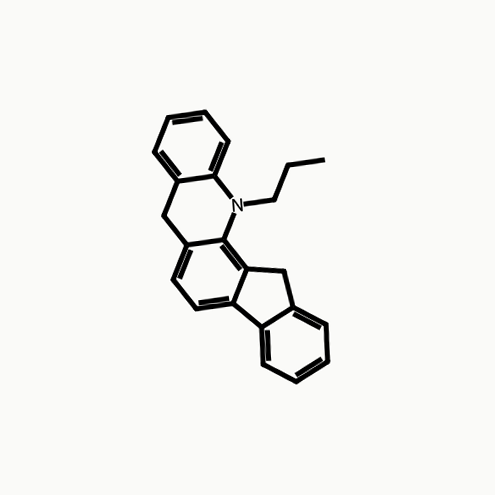 CCCN1c2ccccc2Cc2ccc3c(c21)Cc1ccccc1-3